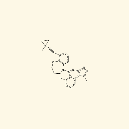 Cc1nnc2nc(N3CCCOc4c(C#CC5(C)CC5)cccc43)c3c(F)cncc3n12